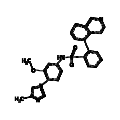 COc1cc(NS(=O)(=O)c2ccccc2-c2cccc3cnccc23)ccc1-n1cnc(C)c1